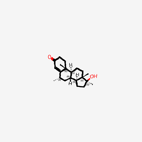 C[C@H]1C[C@@H]2[C@H](CC[C@@]3(C)[C@H]2CC[C@]3(C)O)[C@@]2(C)CCC(=O)C=C12